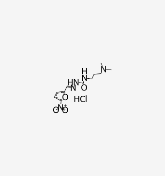 CN(C)CCCNC(=O)NN=Cc1ccc([N+](=O)[O-])o1.Cl